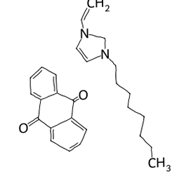 C=CN1C=CN(CCCCCCCC)C1.O=C1c2ccccc2C(=O)c2ccccc21